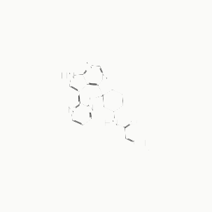 C=CC(=O)NC1CCCC(C)(c2ncnc3[nH]cc(-c4ncccn4)c23)C1